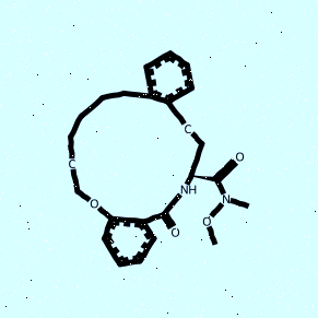 CON(C)C(=O)[C@@H]1CCc2ccccc2CCCCCCOc2ccccc2C(=O)N1